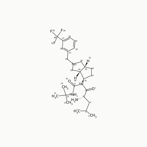 CC(C)C[C@H](N)C(=O)N(C(=O)NC(C)(C)C)[C@@H]1CC[C@H]2CN(Cc3cccc(C(F)(F)F)c3)C[C@H]21